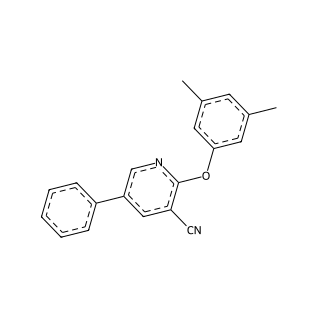 Cc1cc(C)cc(Oc2ncc(-c3ccccc3)cc2C#N)c1